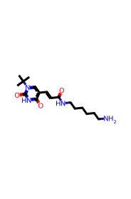 CC(C)(C)n1cc(/C=C/C(=O)NCCCCCCN)c(=O)[nH]c1=O